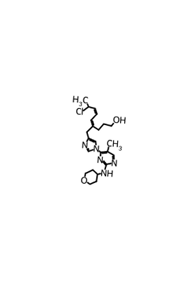 Cc1cnc(NC2CCOCC2)nc1-n1cnc(C/C(=C/C=C\C(C)Cl)CCCO)c1